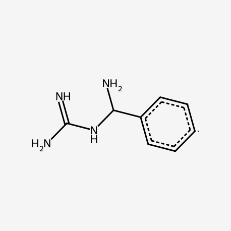 N=C(N)NC(N)c1cc[c]cc1